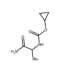 CC(C)(C)C(NC(=O)OC1CC1)C(N)=O